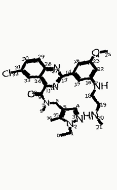 CCn1ncc(CN(C)C(=O)c2nc(-c3cc(NCCNC)cc(OC)c3)nc3ccc(Cl)cc23)c1C